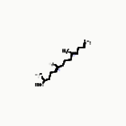 C=CC/C=C(\C)CCC/C(C)=C/CCC(C)C=O